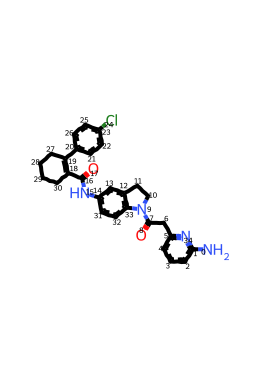 Nc1cccc(CC(=O)N2CCc3cc(NC(=O)C4=C(c5ccc(Cl)cc5)CCCC4)ccc32)n1